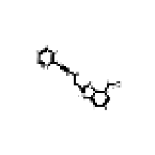 ClCc1cccc2nc(CCC#Cc3ccccn3)sc12